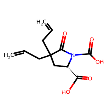 C=CCC1(CC=C)C[C@@H](C(=O)O)N(C(=O)O)C1=O